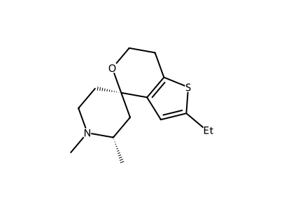 CCc1cc2c(s1)CCO[C@@]21CCN(C)[C@@H](C)C1